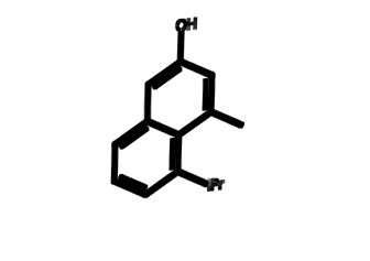 Cc1cc(O)cc2cccc(C(C)C)c12